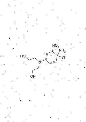 NC1(Cl)C=CC(N(CCO)CCO)=CC1[N+](=O)[O-]